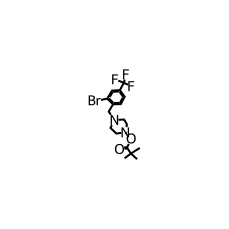 CC(C)(C)C(=O)ON1CCN(Cc2ccc(C(F)(F)F)cc2Br)CC1